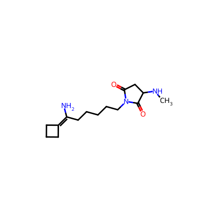 CNC1CC(=O)N(CCCCCC(N)=C2CCC2)C1=O